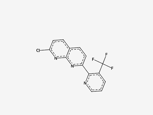 FC(F)(F)c1cccnc1-c1ccc2ccc(Cl)nc2n1